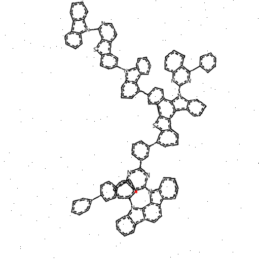 c1ccc(-c2ccc(-c3nc(-c4cccc(-c5cccc6c5sc5c7cc(-c8cccc9c8c8ccccc8n9-c8ccc9sc%10c(-n%11c%12ccccc%12c%12ccccc%12%11)nccc%10c9c8)ccc7c7c(c8ccccc8n7-c7nc(-c8ccccc8)c8ccccc8n7)c65)c4)nc(-n4c5ccccc5c5ccc6c7ccccc7n(-c7ccccc7)c6c54)n3)cc2)cc1